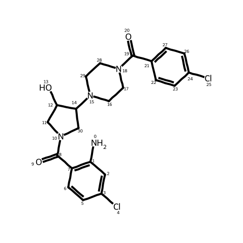 Nc1cc(Cl)ccc1C(=O)N1CC(O)C(N2CCN(C(=O)c3ccc(Cl)cc3)CC2)C1